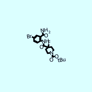 CC(C)(C)OC(=O)N1CCC(F)(C(=O)Nc2ccc(Br)cc2C(N)=O)CC1